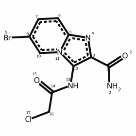 NC(=O)c1nc2ccc(Br)cn2c1NC(=O)CCl